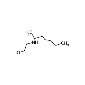 CCCCCC(C)NCC[O]